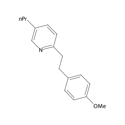 CCCc1ccc(CCc2ccc(OC)cc2)nc1